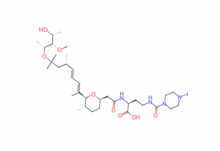 CO[C@@H]([C@@H](C)O)[C@@H](C)OC(C)(C)C[C@H](C)/C=C/C=C(\C)[C@H]1O[C@@H](CC(=O)N[C@@H](CCNC(=O)N2CCN(I)CC2)C(=O)O)CC[C@@H]1C